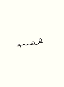 CC(C)CCCCOCC1CO1